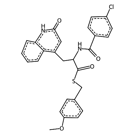 COc1ccc(CSC(=O)C(Cc2cc(=O)[nH]c3ccccc23)NC(=O)c2ccc(Cl)cc2)cc1